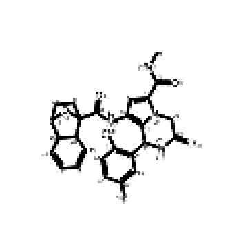 CNC(=O)c1cc(NC(=O)C23CCC(O2)C2C=CC=CC23)c2n1CC(=O)NC2c1cc(F)ccc1Cl